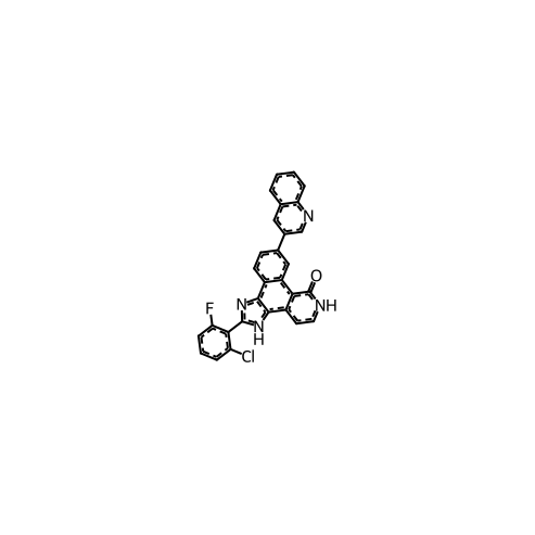 O=c1[nH]ccc2c3[nH]c(-c4c(F)cccc4Cl)nc3c3ccc(-c4cnc5ccccc5c4)cc3c12